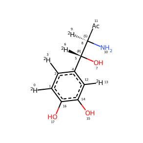 [2H]c1c([2H])c([C@@]([2H])(O)[C@]([2H])(N)C(C)=O)c([2H])c(O)c1O